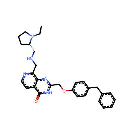 CCN1CCC[C@H]1CNCc1nccc2c(=O)[nH]c(COc3ccc(Cc4ccccc4)cc3)nc12